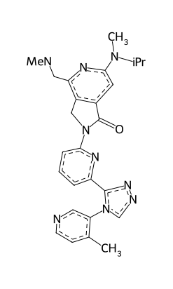 CNCc1nc(N(C)C(C)C)cc2c1CN(c1cccc(-c3nncn3-c3cnccc3C)n1)C2=O